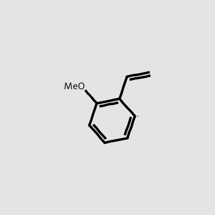 C=Cc1[c]cccc1OC